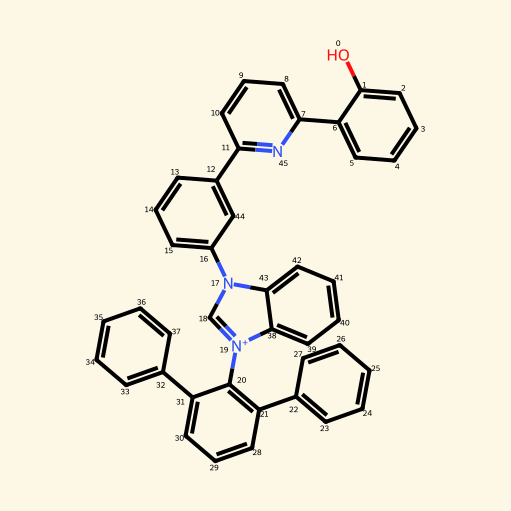 Oc1ccccc1-c1cccc(-c2cccc(-n3c[n+](-c4c(-c5ccccc5)cccc4-c4ccccc4)c4ccccc43)c2)n1